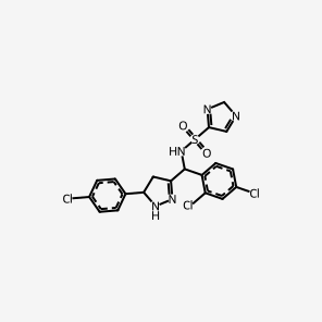 O=S(=O)(NC(C1=NNC(c2ccc(Cl)cc2)C1)c1ccc(Cl)cc1Cl)C1=NCN=C1